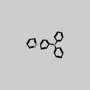 c1ccc(N(c2ccccc2)c2ccccc2)cc1.c1ccnnc1